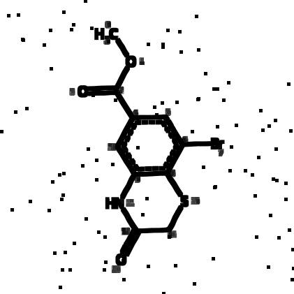 COC(=O)c1cc(Br)c2c(c1)NC(=O)CS2